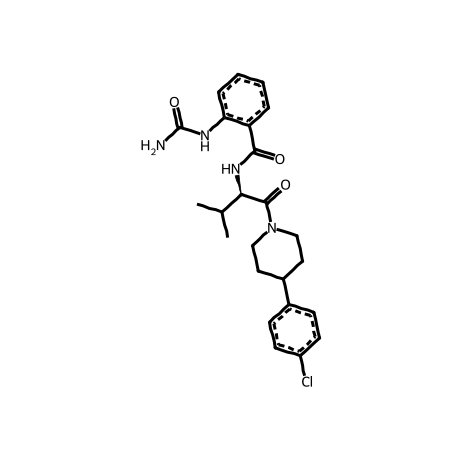 CC(C)[C@@H](NC(=O)c1ccccc1NC(N)=O)C(=O)N1CCC(c2ccc(Cl)cc2)CC1